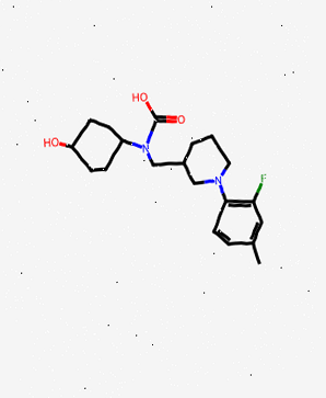 Cc1ccc(N2CCCC(CN(C(=O)O)C3CCC(O)CC3)C2)c(F)c1